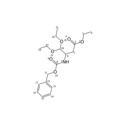 CCOC(=O)CC(NC(=O)OCc1ccccc1)C(OCC)OCC